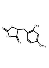 COc1ccc(CC2OC(=S)NC2=O)c(O)c1